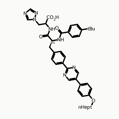 CCCCCCCOc1ccc(-c2cnc(-c3ccc(C[C@H](NC(=O)c4ccc(C(C)(C)C)cc4)C(=O)NC(Cn4cncn4)C(=O)O)cc3)nc2)cc1